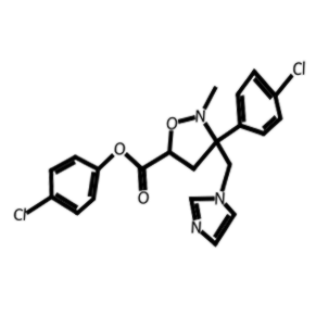 CN1OC(C(=O)Oc2ccc(Cl)cc2)CC1(Cn1ccnc1)c1ccc(Cl)cc1